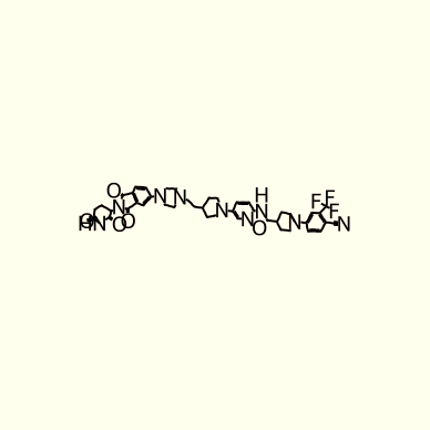 N#Cc1ccc(N2CCC(C(=O)Nc3ccc(N4CCC(CCN5CCN(c6ccc7c(c6)C(=O)N(C6CCC(=O)NC6=O)C7=O)CC5)CC4)cn3)CC2)cc1C(F)(F)F